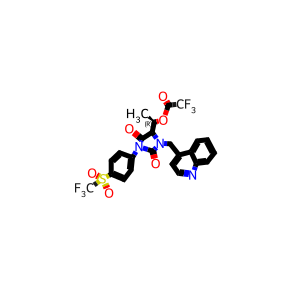 C[C@@H](OC(=O)C(F)(F)F)C1C(=O)N(c2ccc(S(=O)(=O)C(F)(F)F)cc2)C(=O)N1Cc1ccnc2ccccc12